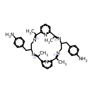 C/C1=N\CC(Cc2ccc(N)cc2)/N=C(\C)c2cccc(n2)/C(C)=N/CC(Cc2ccc(N)cc2)/N=C(\C)c2cccc1n2